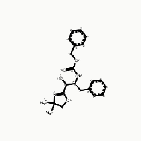 CC1(C)COC(C(O)[C@H](Cc2ccccc2)NC(=O)OCc2ccccc2)=N1